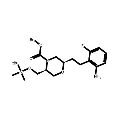 CC(C)(C)OC(=O)N1C[C@@H](CCc2c(N)cccc2F)OC[C@H]1CO[Si](C)(C)C(C)(C)C